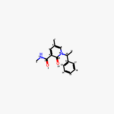 CNC(=O)c1cc(C)cn(C(C)c2ccccc2)c1=O